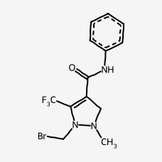 CN1CC(C(=O)Nc2ccccc2)=C(C(F)(F)F)N1CBr